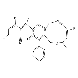 CC/C=C(F)\C(C#N)=C(/C)c1cc2c(n(C3=CCCN=C3)c1=O)COC(C)/C=C(F)\C=N/C2